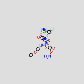 COc1cc(CN(C(=S)NCCc2ccc(OCc3ccccc3)cc2)N(Cc2ccc(OCCN)c(OC)c2)C(=S)NCCc2ccc(Cl)cc2Cl)ccc1OCCN